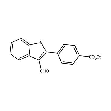 CCOC(=O)c1ccc(-c2sc3ccccc3c2C=O)cc1